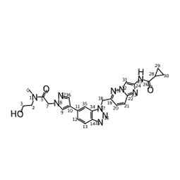 CN(CCO)C(=O)Cn1cc(-c2ccc3nnn(Cc4ccc5nc(NC(=O)C6CC6)cn5n4)c3c2)cn1